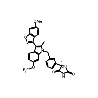 COc1ccc2c(-c3c(C)n(Cc4cccc([C@@]5(C)OC(=O)NC5=O)c4)c4cc(OC(F)(F)F)ccc34)noc2c1